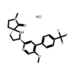 COc1cnc([C@H]2CC[C@@]3(CCN(C)C3=O)N2)cc1-c1ccc(C(F)(F)F)cc1.Cl